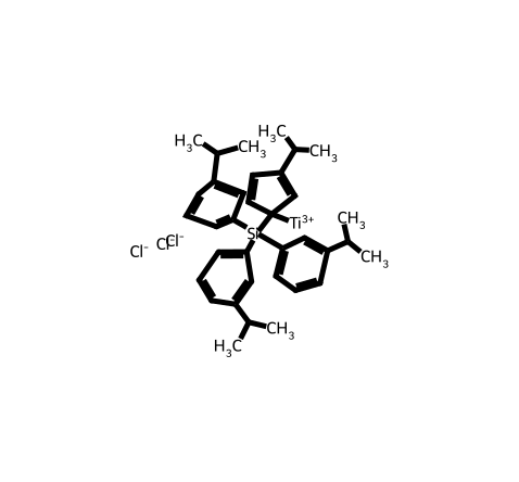 CC(C)C1=C[C]([Ti+3])([Si](c2cccc(C(C)C)c2)(c2cccc(C(C)C)c2)c2cccc(C(C)C)c2)C=C1.[Cl-].[Cl-].[Cl-]